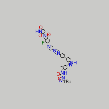 Cc1cc(-c2n[nH]c3ccc(-c4ccc(N5CCN(C6CCN(Cc7ccc8c(c7F)CN(C7CCC(=O)NC7=O)C8=O)CC6)CC5)cc4)cc23)ccc1CNC(=O)c1nc(C(C)(C)C)no1